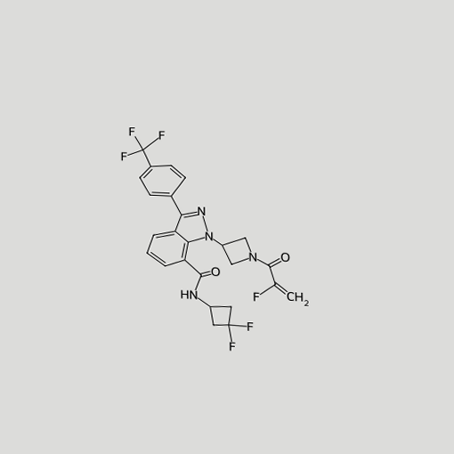 C=C(F)C(=O)N1CC(n2nc(-c3ccc(C(F)(F)F)cc3)c3cccc(C(=O)NC4CC(F)(F)C4)c32)C1